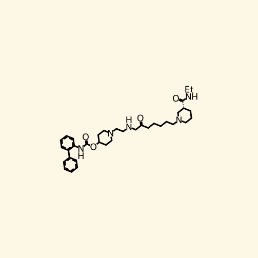 CCNC(=O)[C@@H]1CCCN(CCCCCC(=O)CNCCN2CCC(OC(=O)Nc3ccccc3-c3ccccc3)CC2)C1